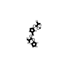 COC(OC1CCC(COC(OC2CCCC2)C(C)C)C1)C(C)C